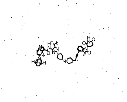 Cn1c(=O)n(C2CCC(=O)NC2=O)c2cccc(C#CCC3CCN(C[C@H]4CC[C@H](C5N=C(NC(=O)c6cnn7ccc(N8C[C@H]9CC[C@@H](C8)O9)nc67)C(C(F)F)=N5)CC4)CC3)c21